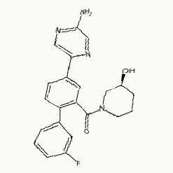 Nc1cnc(-c2ccc(-c3cccc(F)c3)c(C(=O)N3CCC[C@H](O)C3)c2)cn1